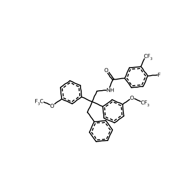 O=C(NCC(Cc1ccccc1)(c1cccc(OC(F)(F)F)c1)c1cccc(OC(F)(F)F)c1)c1ccc(F)c(C(F)(F)F)c1